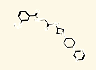 O=C(CNC(=O)c1cccc(C(F)(F)F)c1)NC1CN([C@H]2CC[C@@H](c3cnccn3)CC2)C1